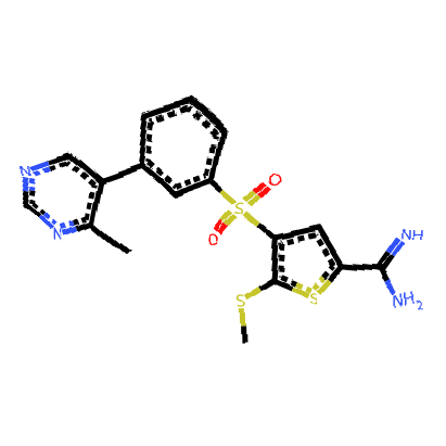 CSc1sc(C(=N)N)cc1S(=O)(=O)c1cccc(-c2cncnc2C)c1